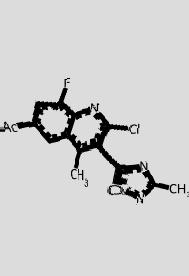 CC(=O)c1cc(F)c2nc(Cl)c(-c3nc(C)no3)c(C)c2c1